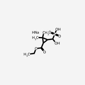 CCOC(=O)C1C(C(O)S(=O)(=O)O)C1(C)C.[NaH]